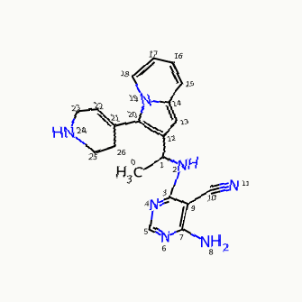 CC(Nc1ncnc(N)c1C#N)c1cc2ccccn2c1C1=CCNCC1